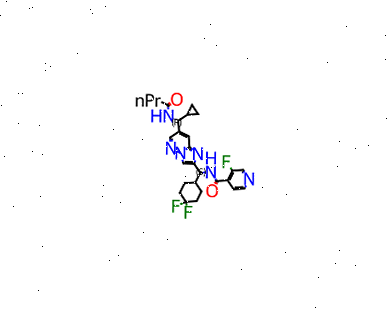 CCCC(=O)N[C@@H](c1cnn2cc([C@@H](NC(=O)c3ccncc3F)C3CCC(F)(F)CC3)nc2c1)C1CC1